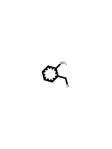 [O]Cc1ccccc1[N+](=O)[O-]